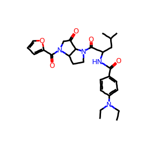 CCN(CC)c1ccc(C(=O)NC(CC(C)C)C(=O)N2CCC3C2C(=O)CN3C(=O)c2ccco2)cc1